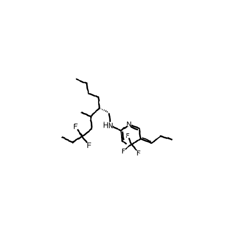 C\C=C(/N=C\C(=C/CC)C(F)(F)F)NC[C@@H](CCCC)C(C)CC(F)(F)CC